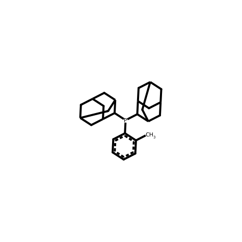 Cc1ccccc1P(C1C2CC3CC(C2)CC1C3)C1C2CC3CC(C2)CC1C3